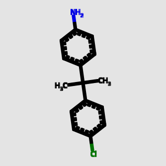 CC(C)(c1ccc(N)cc1)c1ccc(Cl)cc1